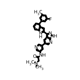 Cc1cc(F)cc(-c2cccc3[nH]c(-c4n[nH]c5ncc(-c6cncc(NC(=O)CN(C)C)c6)cc45)cc23)c1